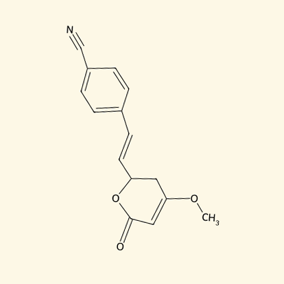 COC1=CC(=O)OC(C=Cc2ccc(C#N)cc2)C1